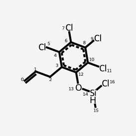 C=CCc1c(Cl)c(Cl)c(Cl)c(Cl)c1O[SiH](C)Cl